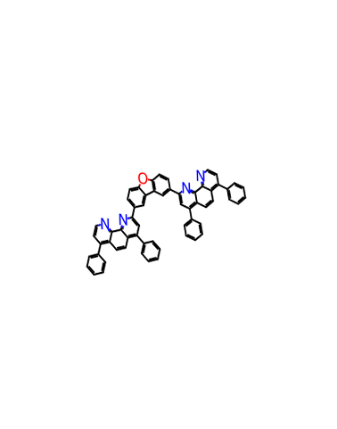 c1ccc(-c2ccnc3c2ccc2c(-c4ccccc4)cc(-c4ccc5oc6ccc(-c7cc(-c8ccccc8)c8ccc9c(-c%10ccccc%10)ccnc9c8n7)cc6c5c4)nc23)cc1